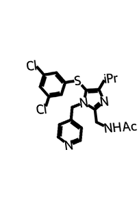 CC(=O)NCc1nc(C(C)C)c(Sc2cc(Cl)cc(Cl)c2)n1Cc1ccncc1